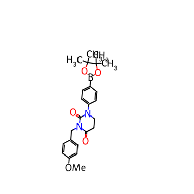 COc1ccc(CN2C(=O)CCN(c3ccc(B4OC(C)(C)C(C)(C)O4)cc3)C2=O)cc1